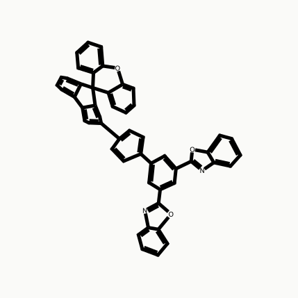 c1ccc2c(c1)Oc1ccccc1C21c2ccccc2-c2ccc(-c3ccc(-c4cc(-c5nc6ccccc6o5)cc(-c5nc6ccccc6o5)c4)cc3)cc21